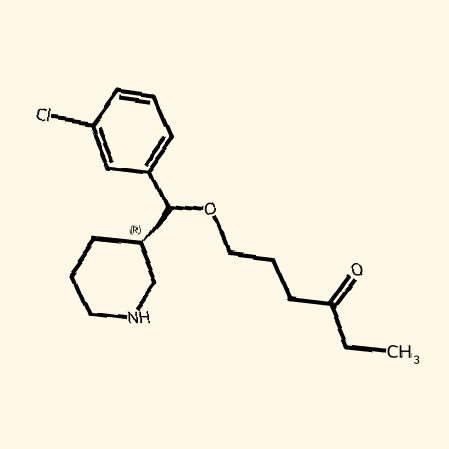 CCC(=O)CCCOC(c1cccc(Cl)c1)[C@@H]1CCCNC1